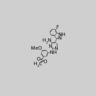 COc1cc(Nc2ncc(-c3n[nH]c4c(F)cccc34)c(N)n2)cc(S(C)(=O)=O)c1